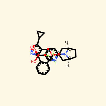 O=C(O)c1ccc(N2[C@@H]3CC[C@H]2C[C@@H](OCc2c(-c4ccccc4C(F)(F)F)noc2C2CC2)C3)nc1